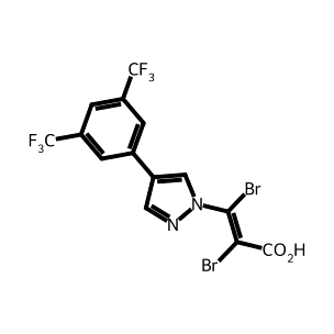 O=C(O)C(Br)=C(Br)n1cc(-c2cc(C(F)(F)F)cc(C(F)(F)F)c2)cn1